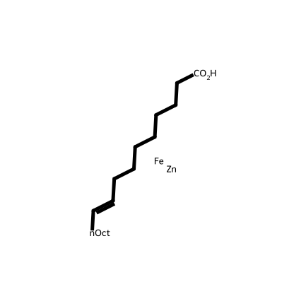 CCCCCCCCC=CCCCCCCCC(=O)O.[Fe].[Zn]